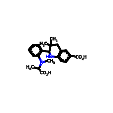 CC(C(=O)O)N(C)c1ccccc1C1Nc2ccc(C(=O)O)cc2CC1(C)C